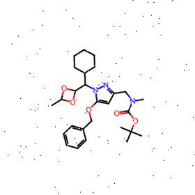 CC1OC(C(C2CCCCC2)n2nc(CN(C)C(=O)OC(C)(C)C)cc2OCc2ccccc2)O1